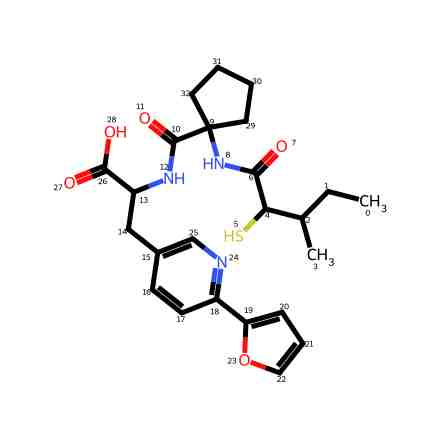 CCC(C)C(S)C(=O)NC1(C(=O)NC(Cc2ccc(-c3ccco3)nc2)C(=O)O)CCCC1